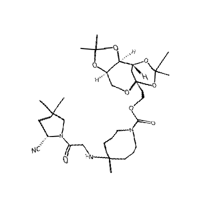 CC1(C)C[C@@H](C#N)N(C(=O)CNC2(C)CCN(C(=O)OC[C@@]34OC[C@H]5OC(C)(C)O[C@H]5[C@@H]3OC(C)(C)O4)CC2)C1